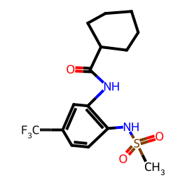 CS(=O)(=O)Nc1ccc(C(F)(F)F)cc1NC(=O)C1CCCCC1